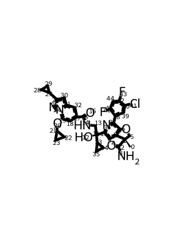 C[C@]1(C(N)=O)COc2c1cc([C@@](O)(CNC(=O)c1cc(OC3CC3)n3nc(C4CC4)cc3c1)C1CC1)nc2-c1cc(Cl)c(F)cc1F